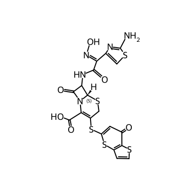 Nc1nc(C(=NO)C(=O)NC2C(=O)N3C(C(=O)O)=C(Sc4cc(=O)c5sccc5s4)CS[C@@H]23)cs1